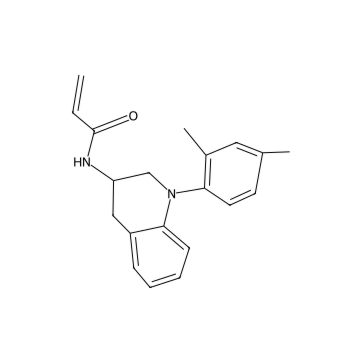 C=CC(=O)NC1Cc2ccccc2N(c2ccc(C)cc2C)C1